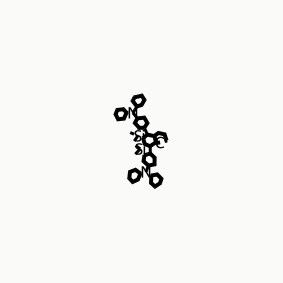 C[Si]1(C)c2cc(N(c3ccccc3)c3ccccc3)ccc2-c2c1c1c(c3ccccc23)-c2ccc(N(c3ccccc3)c3ccccc3)cc2[Si]1(C)C